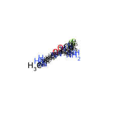 CCN(C(=O)[C@@H]1CCN(CC(=O)N2CC=C(c3ccc(C(=N)/N=C\NC)cc3)CC2)C1)c1ccc(N)c(C(=N)c2ccc(C(F)(F)F)nc2)c1